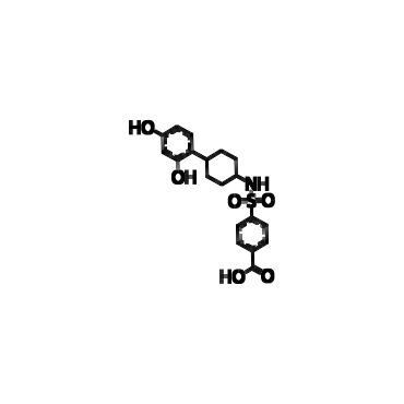 O=C(O)c1ccc(S(=O)(=O)NC2CCC(c3ccc(O)cc3O)CC2)cc1